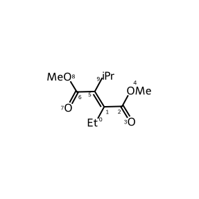 CCC(C(=O)OC)=C(C(=O)OC)C(C)C